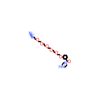 [N-]=[N+]=NCCOCCOCCOCCOCCOCCOc1cccc(C(=O)N2CCNCC2)c1